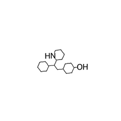 OC1CCC(CC(C2CCCCC2)C2CCCCN2)CC1